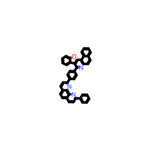 c1ccc(-c2ccc3ccc4ccc(-c5ccc(-c6nc7ccc8ccccc8c7c7oc8ccccc8c67)cc5)nc4c3n2)cc1